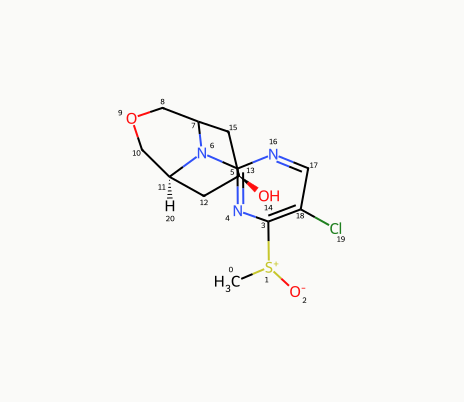 C[S+]([O-])c1nc(N2C3COC[C@@H]2C[C@H](O)C3)ncc1Cl